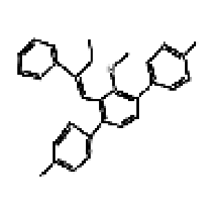 CC/C(=C\c1c(-c2ccc(C)cc2)ccc(-c2ccc(C)cc2)c1NC)c1ccccc1